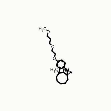 COCCCOCCOc1ccc2c(c1)[C@@]1(C)CCCCC[C@@H](C2)C1N